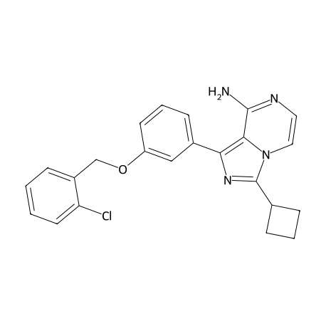 Nc1nccn2c(C3CCC3)nc(-c3cccc(OCc4ccccc4Cl)c3)c12